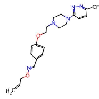 C=CCON=Cc1ccc(OCCN2CCN(c3ccc(C(F)(F)F)nn3)CC2)cc1